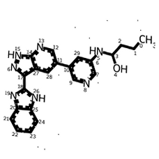 CCCC(O)Nc1cncc(-c2cnc3[nH]nc(-c4nc5ccccc5[nH]4)c3c2)c1